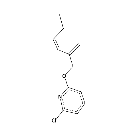 C=C(/C=C\CC)COc1cccc(Cl)n1